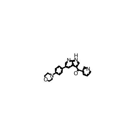 O=C(c1cccnc1)c1c[nH]c2ncc(-c3ccc(N4CCOCC4)cc3)cc12